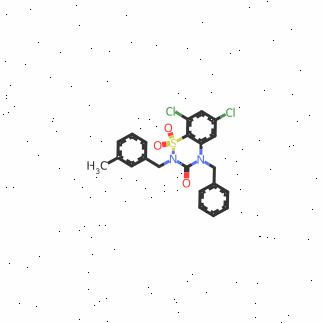 Cc1cccc(CN2C(=O)N(Cc3ccccc3)c3cc(Cl)cc(Cl)c3S2(=O)=O)c1